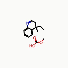 CCC1(C)CC=Nc2ccccc21.COC(=O)O